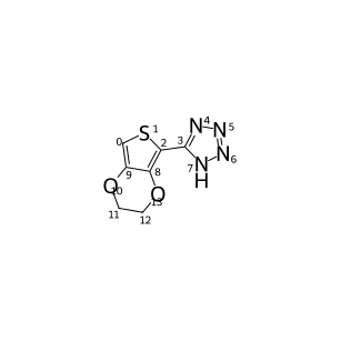 c1sc(-c2nnn[nH]2)c2c1OCCO2